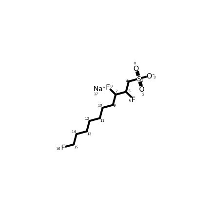 O=S(=O)([O-])CC(F)C(F)CCCCCCCF.[Na+]